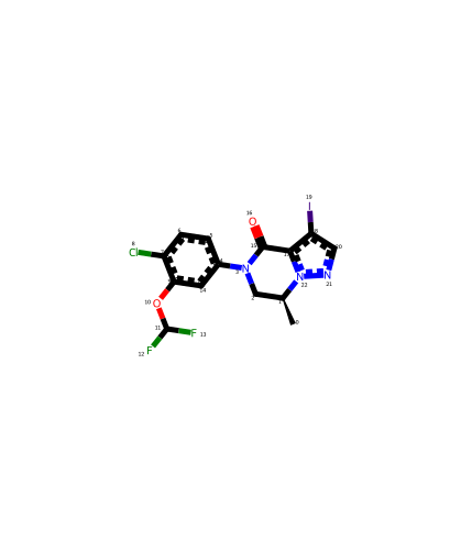 C[C@H]1CN(c2ccc(Cl)c(OC(F)F)c2)C(=O)c2c(I)cnn21